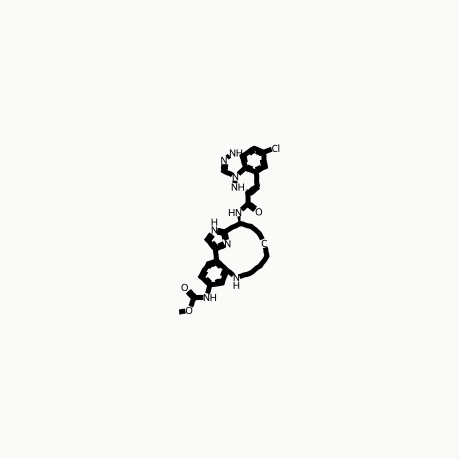 COC(=O)Nc1ccc2c(c1)NCCCCCC[C@H](NC(=O)/C=C/c1cc(Cl)ccc1N(N)/C=N\N)c1nc-2c[nH]1